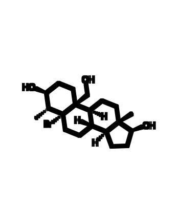 C[C@@H]1[C@@H](O)CC[C@]2(CO)[C@H]3CC[C@]4(C)[C@@H](O)CC[C@H]4[C@@H]3CC[C@@]12Br